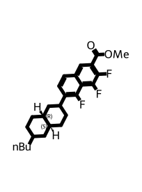 CCCCC1CC[C@@H]2CC(c3ccc4cc(C(=O)OC)c(F)c(F)c4c3F)CC[C@H]2C1